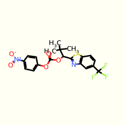 CC(C)(C)C(OC(=O)Oc1ccc([N+](=O)[O-])cc1)c1nc2cc(C(F)(F)F)ccc2s1